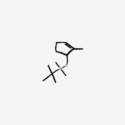 CC1=CCCC1O[Si](C)(C)C(C)(C)C